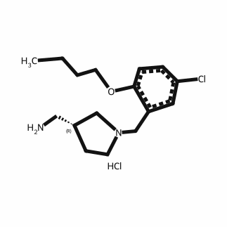 CCCCOc1ccc(Cl)cc1CN1CC[C@H](CN)C1.Cl